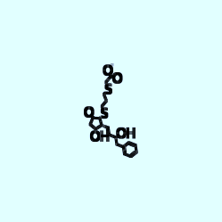 COC(=O)CSCCCS[C@H]1C(=O)C[C@@H](O)[C@@H]1C=CC(O)Cc1ccccc1